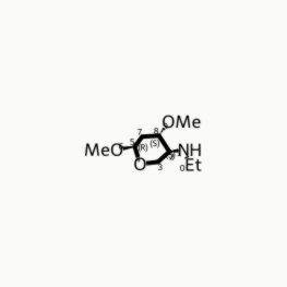 CCN[C@H]1CO[C@@H](OC)C[C@@H]1OC